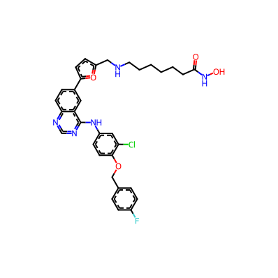 O=C(CCCCCCNCc1ccc(-c2ccc3ncnc(Nc4ccc(OCc5ccc(F)cc5)c(Cl)c4)c3c2)o1)NO